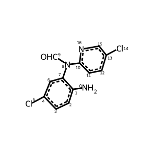 Nc1ccc(Cl)cc1N(C=O)c1ccc(Cl)cn1